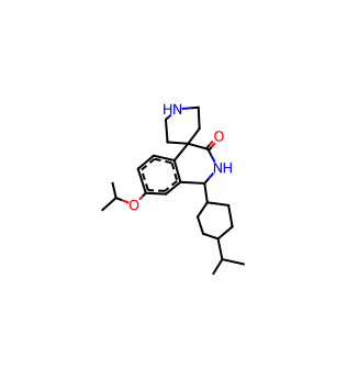 CC(C)Oc1ccc2c(c1)C(C1CCC(C(C)C)CC1)NC(=O)C21CCNCC1